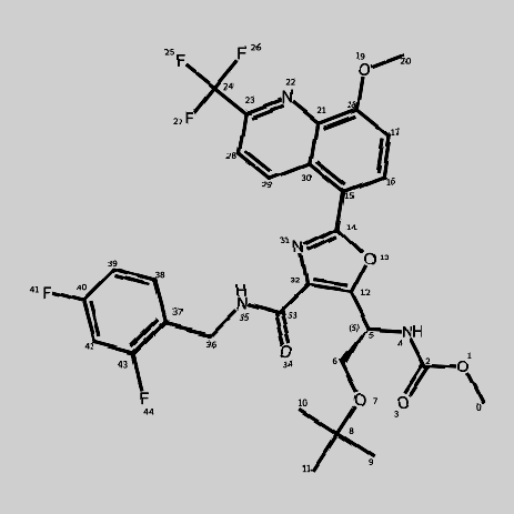 COC(=O)N[C@@H](COC(C)(C)C)c1oc(-c2ccc(OC)c3nc(C(F)(F)F)ccc23)nc1C(=O)NCc1ccc(F)cc1F